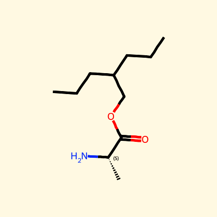 CCCC(CCC)COC(=O)[C@H](C)N